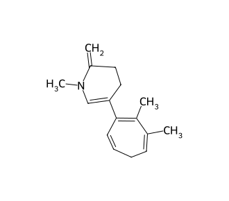 C=C1CCC(C2=C(C)C(C)=CCC=C2)=CN1C